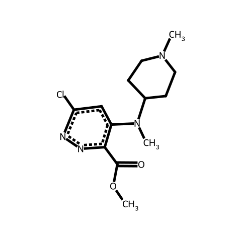 COC(=O)c1nnc(Cl)cc1N(C)C1CCN(C)CC1